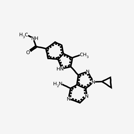 CNC(=O)c1ccc2c(C)c(-c3nn(C4CC4)c4ncnc(N)c34)[nH]c2c1